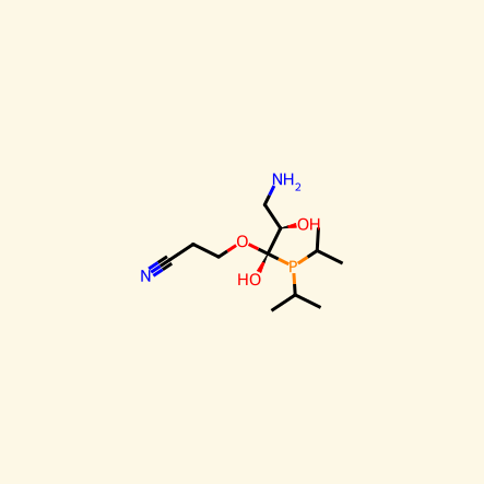 CC(C)P(C(C)C)[C@](O)(OCCC#N)[C@H](O)CN